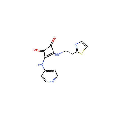 O=c1c(NCCc2nccs2)c(Nc2ccncc2)c1=O